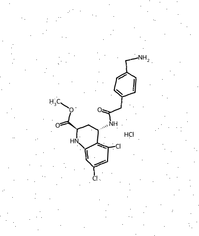 COC(=O)[C@H]1C[C@H](NC(=O)Cc2ccc(CN)cc2)c2c(Cl)cc(Cl)cc2N1.Cl